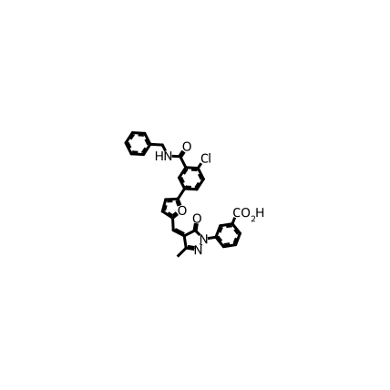 CC1=NN(c2cccc(C(=O)O)c2)C(=O)C1=Cc1ccc(-c2ccc(Cl)c(C(=O)NCc3ccccc3)c2)o1